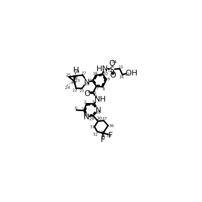 Cc1cc(NC(=O)c2ccc(NS(=O)(=O)CCO)cc2N2CC[C@@]3(C)C[C@H]3C2)nc(C2CCC(F)(F)CC2)n1